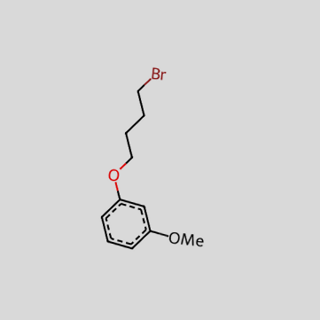 COc1cccc(OCCCCBr)c1